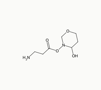 NCCC(=O)ON1COCCC1O